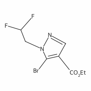 CCOC(=O)c1cnn(CC(F)F)c1Br